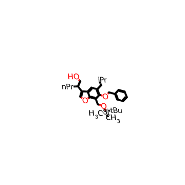 CCCC(CO)c1coc2c(CO[Si](C)(C)C(C)(C)C)c(OCc3ccccc3)c(CC(C)C)cc12